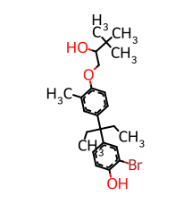 CCC(CC)(c1ccc(OCC(O)C(C)(C)C)c(C)c1)c1ccc(O)c(Br)c1